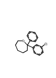 Clc1cccc(C2(c3ccccc3)CCCCCO2)c1